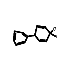 ClC1(I)[C]=CC(c2ccccc2)C=C1